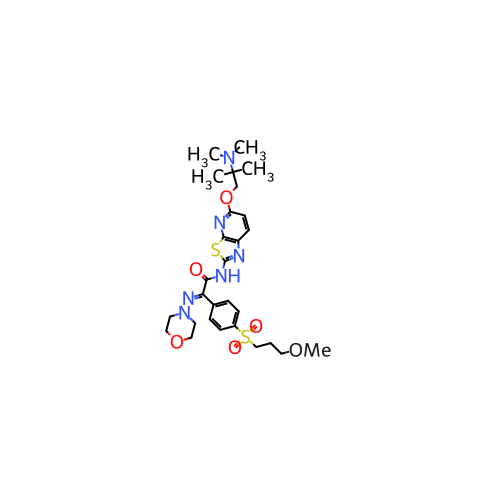 COCCCS(=O)(=O)c1ccc(/C(=N\N2CCOCC2)C(=O)Nc2nc3ccc(OCC(C)(C)N(C)C)nc3s2)cc1